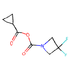 O=C(OC(=O)N1CC(F)(F)C1)C1CC1